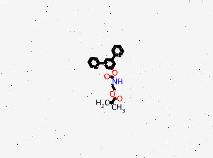 C=C(C)C(=O)OCCNC(=O)Oc1cc(-c2ccccc2)cc(-c2ccccc2)c1